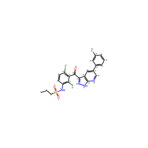 CCCS(=O)(=O)Nc1ccc(F)c(C(=O)c2n[nH]c3ncc(-c4cccc(F)c4)cc23)c1F